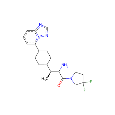 C[C@@H](C1CCC(c2cccc3ncnn23)CC1)C(N)C(=O)N1CCC(F)(F)C1